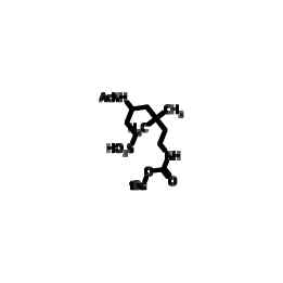 CC(=O)NC(CCS(=O)(=O)O)CC(C)(C)CCNC(=O)OC(C)(C)C